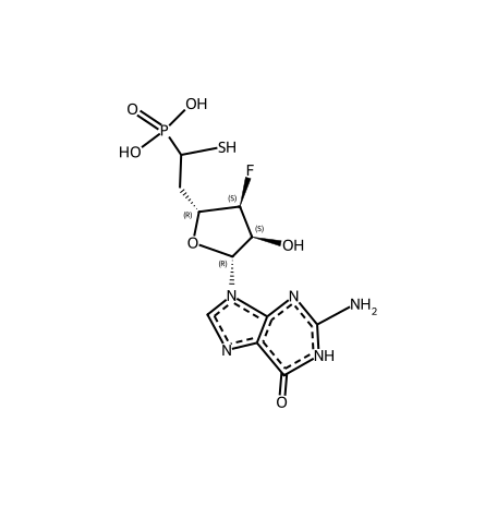 Nc1nc2c(ncn2[C@@H]2O[C@H](CC(S)P(=O)(O)O)[C@@H](F)[C@H]2O)c(=O)[nH]1